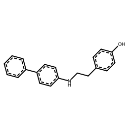 Oc1ccc(CCNc2ccc(-c3ccccc3)cc2)cc1